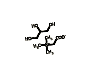 C[N+](C)(C)CC(=O)[O-].OCC(O)CO